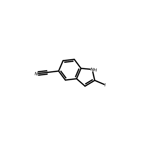 N#Cc1ccc2[nH]c(I)cc2c1